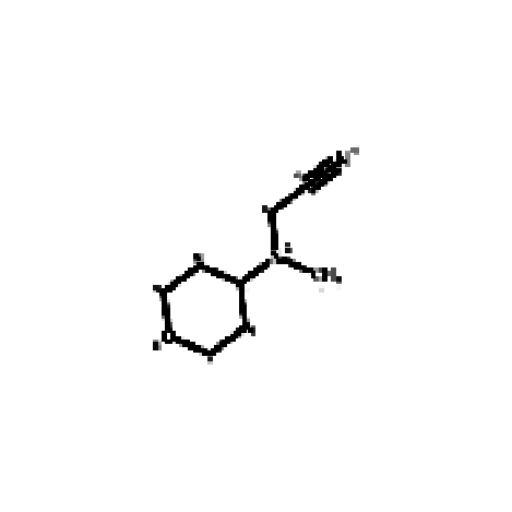 CN(CC#N)C1CCOCC1